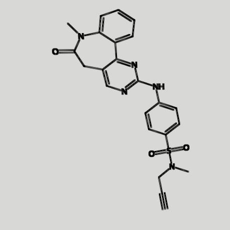 C#CCN(C)S(=O)(=O)c1ccc(Nc2ncc3c(n2)-c2ccccc2N(C)C(=O)C3)cc1